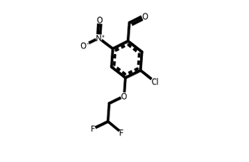 O=Cc1cc(Cl)c(OCC(F)F)cc1[N+](=O)[O-]